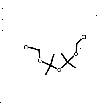 CC(C)(OCCl)OC(C)(C)OCCl